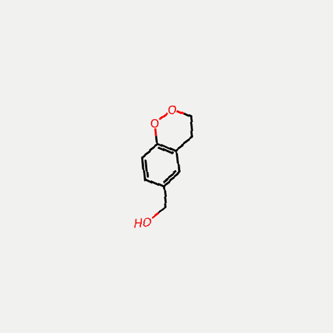 OCc1ccc2c(c1)CCOO2